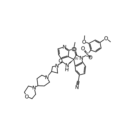 COc1ccc(S(=O)(=O)N2C(=O)[C@@](NC(=O)N3CC(N4CCC(N5CCOCC5)CC4)C3)(c3cccnc3OC)c3cc(C#N)ccc32)c(OC)c1